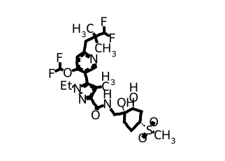 CCn1nc(C(=O)NC[C@]2(O)CC[C@@H](S(C)(=O)=O)C[C@H]2O)c(C)c1-c1cnc(CC(C)(C)C(F)F)cc1OC(F)F